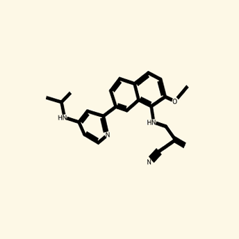 C=C(C#N)CNc1c(OC)ccc2ccc(-c3cc(NC(C)C)ccn3)cc12